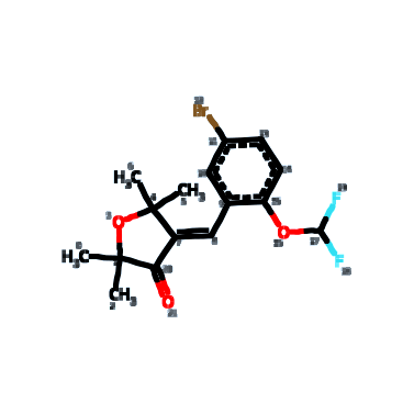 CC1(C)OC(C)(C)C(=Cc2cc(Br)ccc2OC(F)F)C1=O